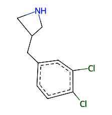 Clc1ccc(CC2CNC2)cc1Cl